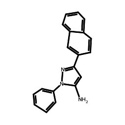 Nc1cc(-c2ccc3ccccc3c2)nn1-c1ccccc1